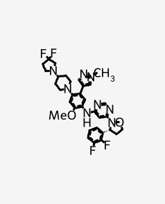 COc1cc(N2CCC(N3CCC(F)(F)C3)CC2)c(-c2cnn(C)c2)cc1Nc1cc(N2OCC[C@@H]2c2cccc(F)c2F)ncn1